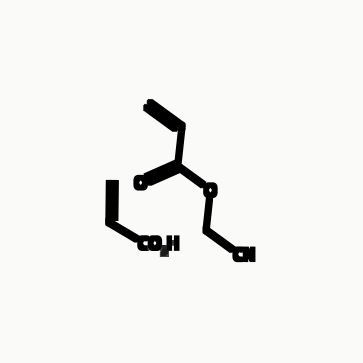 C=CC(=O)O.C=CC(=O)OCC#N